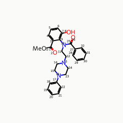 COC(=O)c1cccc(O)c1N(CCN1CCN(c2ccccc2)CC1)C(=O)c1ccccc1